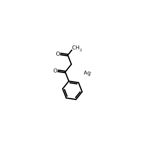 CC(=O)CC(=O)c1ccccc1.[Ag]